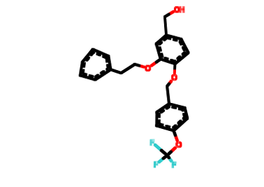 OCc1ccc(OCc2ccc(OC(F)(F)F)cc2)c(OCCc2ccccc2)c1